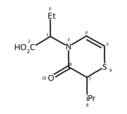 CCC(C(=O)O)N1C=CSC(C(C)C)C1=O